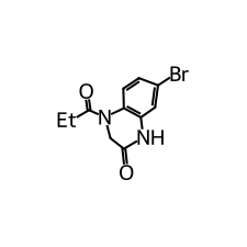 CCC(=O)N1CC(=O)Nc2cc(Br)ccc21